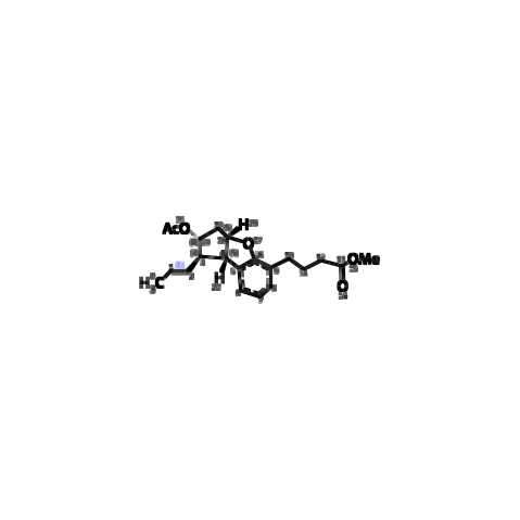 C/C=C/[C@@H]1[C@H]2c3cccc(CCCC(=O)OC)c3O[C@H]2C[C@H]1OC(C)=O